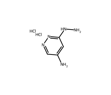 Cl.Cl.NNc1cc(N)cnn1